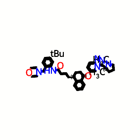 CN1CCC[C@@]1(C)c1nnc2ccc(O[C@@H]3CC[C@H](CCCC(=O)Nc4cc(C(C)(C)C)ccc4CN4CCOCC4)c4ccccc43)cn12